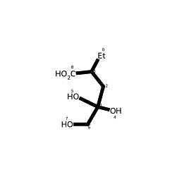 CCC(CC(O)(O)[CH]O)C(=O)O